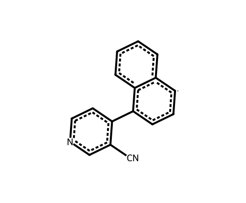 N#Cc1cnccc1-c1cc[c]c2ccccc12